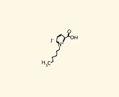 CCCCCC[n+]1cccc(C(=O)O)c1.[I-]